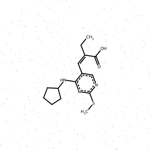 CCC(=Cc1cnc(SC)nc1NC1CCCC1)C(=O)O